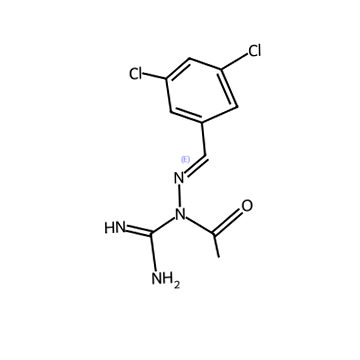 CC(=O)N(/N=C/c1cc(Cl)cc(Cl)c1)C(=N)N